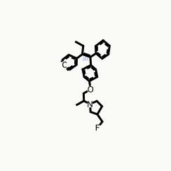 CC/C(=C(\c1ccccc1)c1ccc(OCC(C)N2CCC(CF)C2)cc1)c1ccccc1